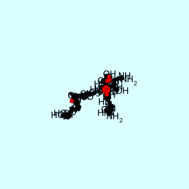 CO[C@@H]1C[C@@H](C[C@H]2CC[C@H](C)C([C@@H](C)C(=O)OCCSSC[C@H](NC(=O)[C@H](CC(=O)O)NC(=O)[C@H](CC(=O)O)NC(=O)[C@H](CCCNC(=N)N)NC(=O)[C@H](CC(=O)O)NC(=O)CC[C@H](NC(=O)c3ccc(NCc4cnc5nc(N)[nH]c(=O)c5n4)cc3)C(=O)O)C(=O)O)O2)O[C@]2(O[C@@](C)(C3CC[C@@](C)([C@@H]4O[C@@H]([C@@H]5O[C@@](O)(CO)[C@H](C)C[C@@H]5C)C[C@@H]4C)O3)C[C@H]2C)[C@@H]1C